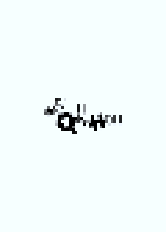 Cc1ccc([N+](=O)[O-])cc1BOC(C)(C)C(C)(C)O